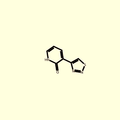 O=c1[nH]cccc1-c1csnn1